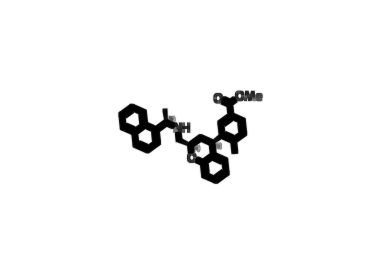 COC(=O)c1ccc(C)c([C@@H]2C[C@H](CN[C@H](C)c3cccc4ccccc34)Oc3ccccc32)c1